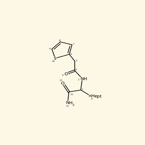 CCCCCCCC(NC(=O)Cc1cccs1)C(N)=O